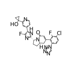 O=C1C=C(c2c(-n3cnnn3)ccc(Cl)c2F)C[C@H]2CC[C@H](c3nc(F)c(-c4ccnc(C5(O)CC5)c4)[nH]3)N12